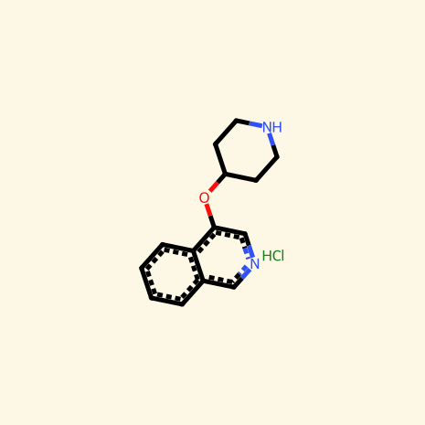 Cl.c1ccc2c(OC3CCNCC3)cncc2c1